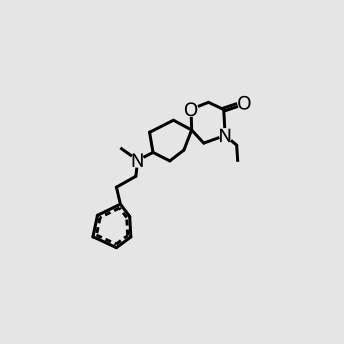 CCN1CC2(CCC(N(C)CCc3ccccc3)CC2)OCC1=O